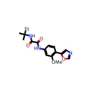 CCC(C)(C)NC(=O)C(=O)Nc1ccc(-c2cnco2)c(OC)c1